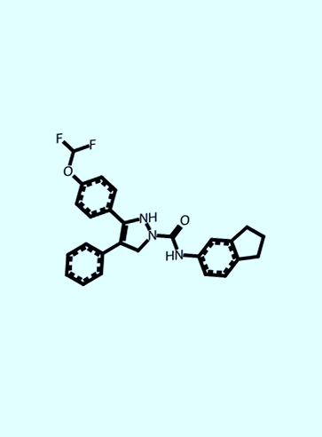 O=C(Nc1ccc2c(c1)CCC2)N1CC(c2ccccc2)=C(c2ccc(OC(F)F)cc2)N1